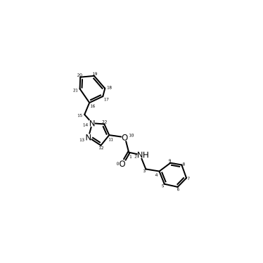 O=C(NCc1ccccc1)Oc1cnn(Cc2ccccc2)c1